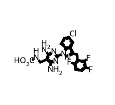 Nc1nc(-n2nc(Cc3c(F)ccc(F)c3F)c3cc(Cl)ccc32)nc(N)c1CNC(=O)O